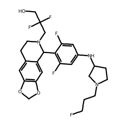 OCC(F)(F)CN1CCc2cc3c(cc2C1c1c(F)cc(NC2CCN(CCCF)C2)cc1F)OCO3